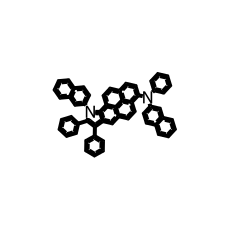 c1ccc(-c2c(-c3ccccc3)n(-c3ccc4ccccc4c3)c3c2cc2ccc4c(N(c5ccccc5)c5ccc6ccccc6c5)ccc5ccc3c2c54)cc1